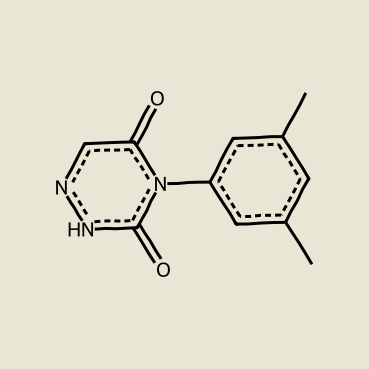 Cc1cc(C)cc(-n2c(=O)cn[nH]c2=O)c1